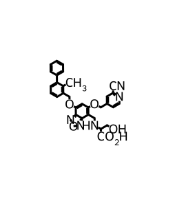 Cc1c(COc2cc(OCc3ccnc(C#N)c3)c(CNC(CO)C(=O)O)c3nonc23)cccc1-c1ccccc1